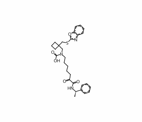 C[C@@H](NC(=O)C(=O)CCCCCN(CC1(CSc2nc3ccccc3o2)CCC1)C(=O)O)c1ccccc1